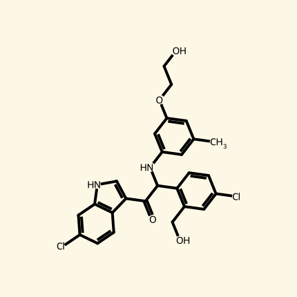 Cc1cc(NC(C(=O)c2c[nH]c3cc(Cl)ccc23)c2ccc(Cl)cc2CO)cc(OCCO)c1